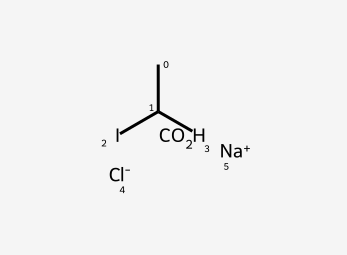 CC(I)C(=O)O.[Cl-].[Na+]